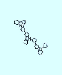 c1ccc(-n2c3ccccc3c3ccc(-c4cccc(-n5c6ccccc6c6cc(-c7ccc8c(c7)c7cccc9c%10ccccc%10n8c97)ccc65)c4)cc32)cc1